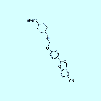 CCCCCC1CCC(/C=C/COc2ccc(C(=O)Oc3ccc(C#N)cc3F)cc2)CC1